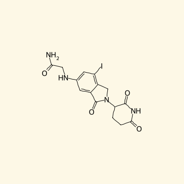 NC(=O)CNc1cc(I)c2c(c1)C(=O)N(C1CCC(=O)NC1=O)C2